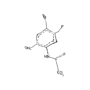 O=Cc1cc(Br)c(F)cc1NC(=O)C(Cl)(Cl)Cl